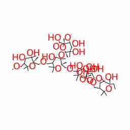 CC[C@]1(C)OC(C)(C)[C@@](C)(COC[C@]2(C)OC(C)(C)[C@@](C)(COC[C@]3(C)OC(C)(C)[C@@](C)(COC[C@]4(C)OC(C)(C)[C@@](C)(COC)[C@@](C)(O)C4(C)O)[C@@](C)(O)C3(C)O[C@]3(C)O[C@](C)(C(=O)O)[C@@](C)(OC)[C@@](C)(O)C3(C)O)[C@@](C)(O)C2(C)O)[C@@](C)(O[C@@H]2O[C@@](C)(CO)[C@@](C)(O)C2O)C1(C)O